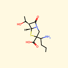 CCCC(N)C1(C(=O)O)CN2C(=O)[C@H](C(C)O)[C@H]2S1